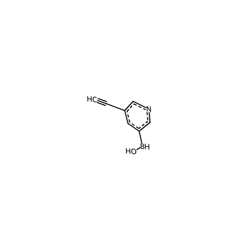 C#Cc1cncc(BO)c1